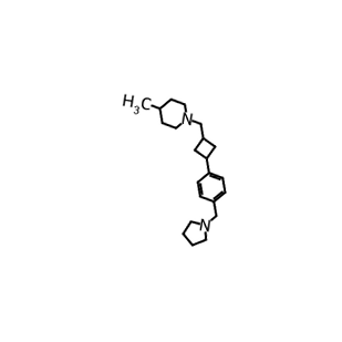 CC1CCN(CC2CC(c3ccc(CN4CCCC4)cc3)C2)CC1